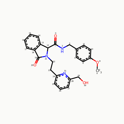 O=C(NCc1ccc(OC(F)(F)F)cc1)C1c2ccccc2C(=O)N1CCc1cccc(CO)n1